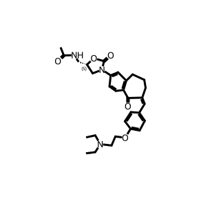 CCN(CC)CCOc1ccc(C=C2CCCc3cc(N4C[C@H](CNC(C)=O)OC4=O)ccc3C2=O)cc1